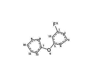 Fc1[c]ccc(Oc2ccccc2)c1